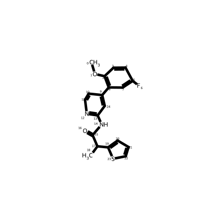 COc1ccc(F)cc1-c1ccnc(NC(=O)C(C)c2cccs2)c1